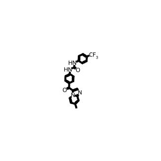 Cc1ccn2c(C(=O)c3ccc(NC(=O)Nc4ccc(C(F)(F)F)cc4)cc3)cnc2c1